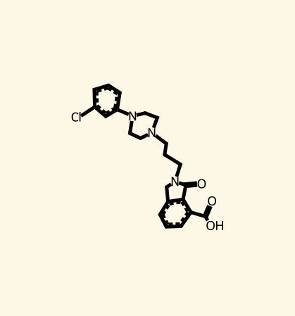 O=C(O)c1cccc2c1C(=O)N(CCCN1CCN(c3cccc(Cl)c3)CC1)C2